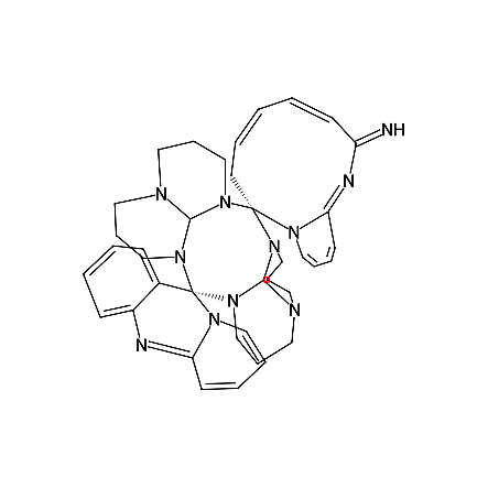 N=C1/C=C\C=C/C[C@]2(N3C=CC=C/C3=N/1)N1CCCN3CCCN(C31)[C@]1(c3ccccc3N=C3C=CC=CN31)N1CCCN3CCCN2C31